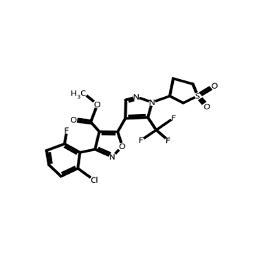 COC(=O)c1c(-c2c(F)cccc2Cl)noc1-c1cnn(C2CCS(=O)(=O)C2)c1C(F)(F)F